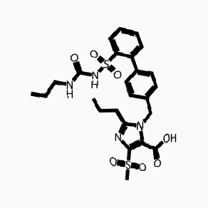 CCCNC(=O)NS(=O)(=O)c1ccccc1-c1ccc(Cn2c(CCC)nc(S(C)(=O)=O)c2C(=O)O)cc1